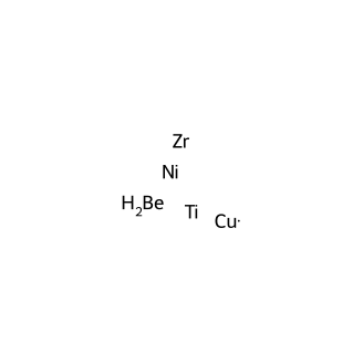 [BeH2].[Cu].[Ni].[Ti].[Zr]